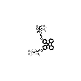 CCC(C)(C)C(=O)OCCOc1ccc(C2(c3ccc(OCCOC(C)(C)C)cc3)c3ccccc3-c3ccccc32)cc1